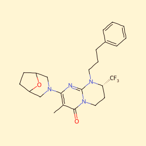 Cc1c(N2CC3CCC(C2)O3)nc2n(c1=O)CC[C@@H](C(F)(F)F)N2CCCc1ccccc1